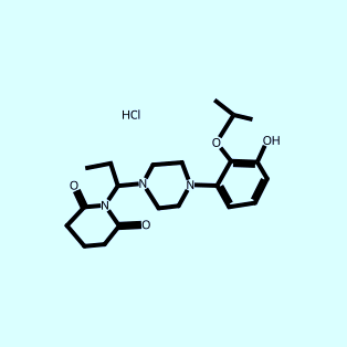 CCC(N1CCN(c2cccc(O)c2OC(C)C)CC1)N1C(=O)CCCC1=O.Cl